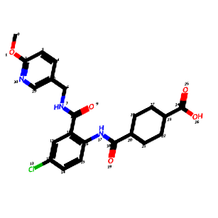 COc1ccc(CNC(=O)c2cc(Cl)ccc2NC(=O)C2CCC(C(=O)O)CC2)cn1